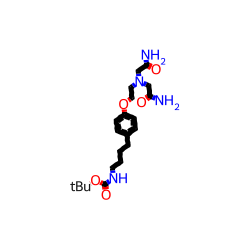 CC(C)(C)OC(=O)NCCCCc1ccc(OCCN(CC(N)=O)CC(N)=O)cc1